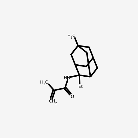 C=C(C)C(=O)NC1(CC)C2CC3CC1CC(C)(C3)C2